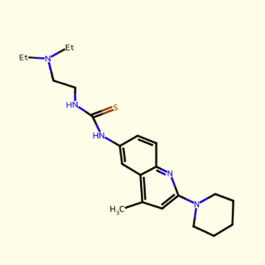 CCN(CC)CCNC(=S)Nc1ccc2nc(N3CCCCC3)cc(C)c2c1